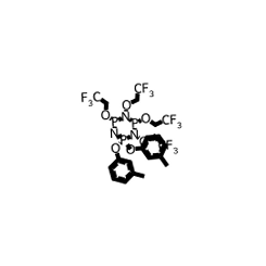 Cc1cccc(OP2(Oc3cccc(C)c3)=NP(OCC(F)(F)F)N(OCC(F)(F)F)P(OCC(F)(F)F)N2OCC(F)(F)F)c1